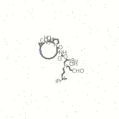 CC(C)N(C)CCCN(CC(OC(=O)N[C@H]1CCCCC/C=C\C2C[C@@]2(C(=O)O)NC(=O)[C@@H]2CCCN2C1=O)C(C)(C)C)C(O)CC=O